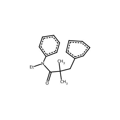 CCN(C(=O)C(C)(C)Cc1ccccc1)c1ccccc1